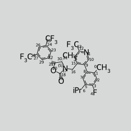 Cc1cc(F)c(C(C)C)cc1-c1cnc(C(F)(F)F)cc1CN1C(=O)O[C@H](c2cc(C(F)(F)F)cc(C(F)(F)F)c2)[C@@H]1C